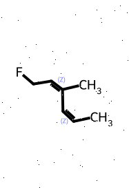 C/C=C\C(C)=C/CF